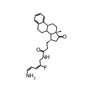 C[C@]12CCC3c4ccccc4CCC3C1[C@H](CCC(=O)NC/C(F)=C\C=C/N)CC2=O